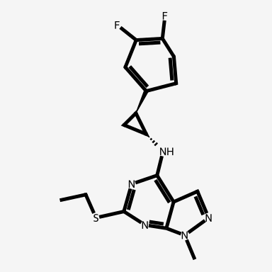 CCSc1nc(N[C@@H]2C[C@H]2c2ccc(F)c(F)c2)c2cnn(C)c2n1